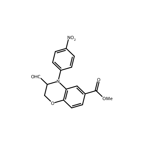 COC(=O)c1ccc2c(c1)N(c1ccc([N+](=O)[O-])cc1)C(C=O)CO2